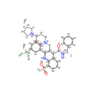 C[C@H](NC(=O)c1c(CN2CCC(N3CC[C@H](F)C3)CC2)c(-c2cccc(C(F)(F)F)c2)nc2c(S(C)(=O)=O)cccc12)c1ccccc1